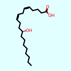 CCCCCCCC[C@H](O)CC/C=C\C/C=C\CCCC(=O)O